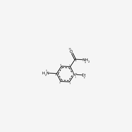 CC[n+]1ccc(N)cc1C(N)=O